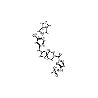 CS(=O)(=O)Nc1ccn(C(=O)N2CCC3(CCN(Cc4ccc(N5CC6COCC6C5)c(Cl)c4)C3)CC2)n1